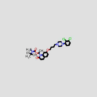 CCC(C)(C)N(C)C(=O)OC(C)n1c(=O)ccc2ccc(OCCCCN3CCN(c4cccc(Cl)c4Cl)CC3)cc21